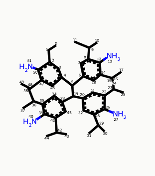 CCc1cc(C(c2cc(C(C)C)c(N)c(C(C)C)c2)C(c2cc(C(C)C)c(N)c(C(C)C)c2)c2cc(C(C)C)c(N)c(C(C)C)c2)cc(CC)c1N